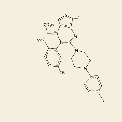 COc1ccc(C(F)(F)F)cc1N1C(N2CCN(c3ccc(F)cc3)CC2)=Nc2c(csc2F)[C@H]1CC(=O)O